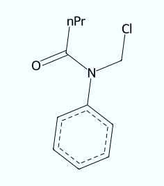 CCCC(=O)N(CCl)c1ccccc1